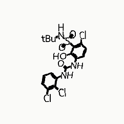 CC(C)(C)NS(=O)(=O)c1c(Cl)ccc(NC(=O)Nc2cccc(Cl)c2Cl)c1O